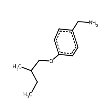 CCC(C)COc1ccc(CN)cc1